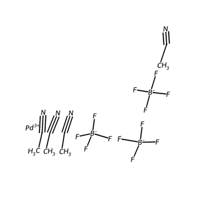 CC#N.CC#N.CC#N.CC#N.F[B-](F)(F)F.F[B-](F)(F)F.F[B-](F)(F)F.[Pd+3]